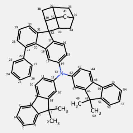 CC1(C)c2ccccc2-c2ccc(N(c3ccc4c(c3)-c3c(-c5ccccc5)cccc3C43C4CC5CC6CC3C64C5)c3ccc4c(c3)C(C)(C)c3ccccc3-4)cc21